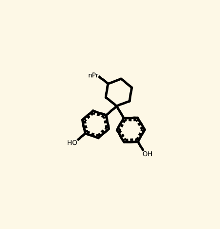 CCCC1CCCC(c2ccc(O)cc2)(c2ccc(O)cc2)C1